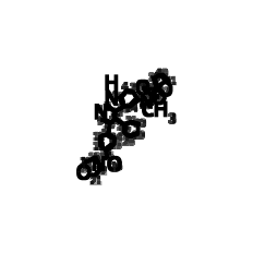 CN(c1ccc2[nH]c3ncc(-c4ccc(C(=O)N5CCOCC5)cc4)c(-c4ccccc4)c3c2c1)S(=O)(=O)c1ccco1